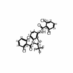 O=C(Nc1cccc2c1nc(C(F)(F)F)n2C(=O)c1c(Cl)cccc1Cl)c1c(Cl)cccc1Cl